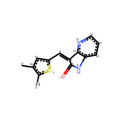 CCc1sc(C=C2C(=O)Nc3cccnc32)cc1C